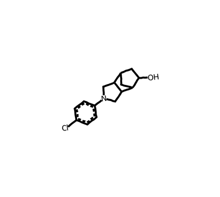 OC1CC2CC1C1CN(c3ccc(Cl)cc3)CC21